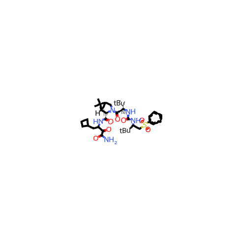 CC(C)(C)C(CS(=O)(=O)c1ccccc1)NC(=O)N[C@H](C(=O)N1CC2[C@@H]([C@H]1C(=O)NC(CC1CCC1)C(=O)C(N)=O)C2(C)C)C(C)(C)C